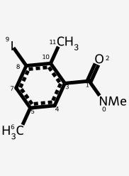 CNC(=O)c1cc(C)cc(I)c1C